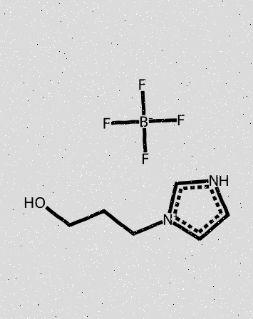 F[B-](F)(F)F.OCCC[n+]1cc[nH]c1